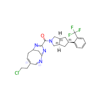 O=C(C1=NC2C/C=C(CCCl)\C=N/C(=N1)C2)N1C[C@H]2C[C@@H](c3ccccc3C(F)(F)F)C[C@H]2C1